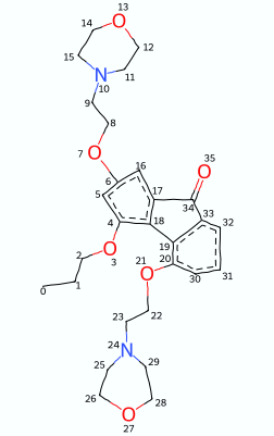 CCCOc1cc(OCCN2CCOCC2)cc2c1-c1c(OCCN3CCOCC3)cccc1C2=O